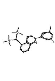 Cc1cc(C)cc(-c2ccc3c(C(S(C)(C)C)S(C)(C)C)cccc3n2)c1